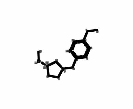 CCc1ccc(CN2CC[C@H](OC)C2)nc1